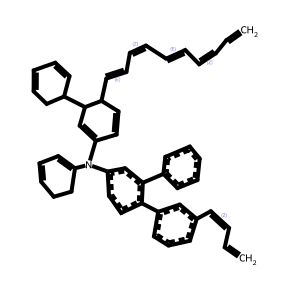 C=C\C=C/C=C/C=C\C=C\C1C=CC(N(C2=CC=CCC2)c2ccc(-c3cccc(/C=C\C=C)c3)c(-c3ccccc3)c2)=CC1C1C=CC=CC1